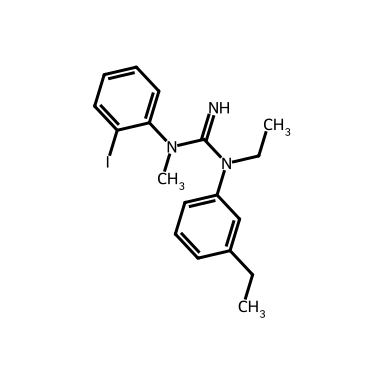 CCc1cccc(N(CC)C(=N)N(C)c2ccccc2I)c1